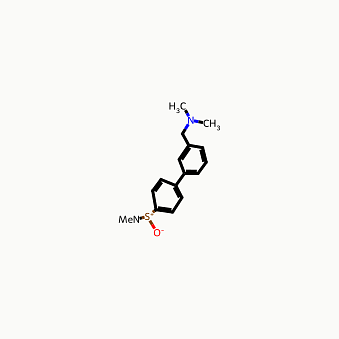 CN[S+]([O-])c1ccc(-c2cccc(CN(C)C)c2)cc1